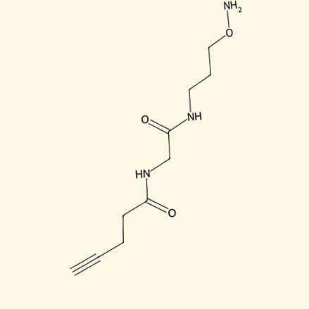 C#CCCC(=O)NCC(=O)NCCCON